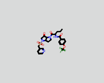 CCCC(NC(=O)c1ccc(OC(F)(F)F)cc1)C(=O)N1CCC2C1C(=O)CN2S(=O)(=O)Cc1cccnc1